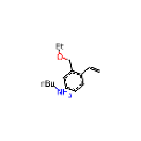 C=Cc1ccccc1COCC.CCCCN